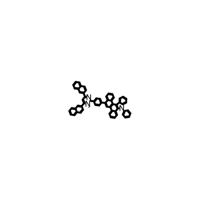 CN1C(c2ccc3ccccc3c2)=CC(c2ccc3ccccc3c2)=NC1c1ccc(-c2cc3c4ccccc4c4c(c5ccccc5n4-c4ccccc4)c3c3ccccc23)cc1